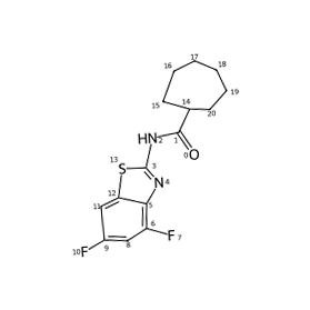 O=C(Nc1nc2c(F)cc(F)cc2s1)C1CCCCCC1